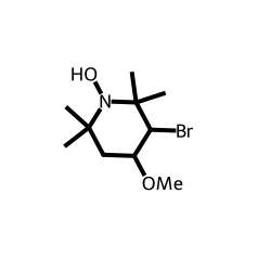 COC1CC(C)(C)N(O)C(C)(C)C1Br